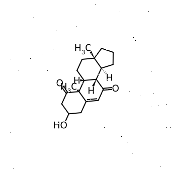 C[C@@]12CCC[C@H]1[C@@H]1C(=O)C=C3CC(O)CC(=O)[C@]3(C)[C@@H]1CC2